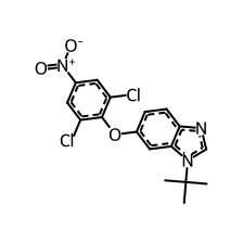 CC(C)(C)n1cnc2ccc(Oc3c(Cl)cc([N+](=O)[O-])cc3Cl)cc21